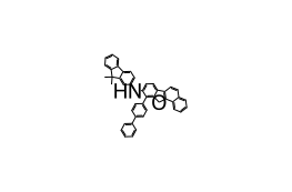 CC1(C)c2ccccc2-c2ccc(Nc3ccc4c(oc5c6ccccc6ccc45)c3-c3ccc(-c4ccccc4)cc3)cc21